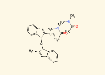 CC1=Cc2ccccc2[CH]1[Sc][CH]1C(C)=Cc2ccccc21.CN(C)[Si](C)=O.CN(C)[Si](C)=O